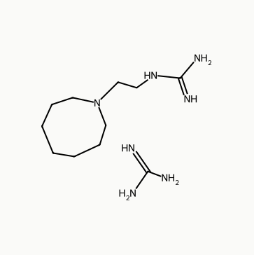 N=C(N)N.N=C(N)NCCN1CCCCCCC1